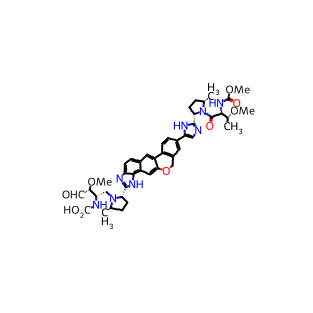 COC(=O)N[C@H](C(=O)N1[C@@H](C)CC[C@H]1c1ncc(-c2ccc3c(c2)COc2cc4c(ccc5nc([C@@H]6CC[C@H](C)N6C[C@H](NC(=O)O)[C@H](C=O)OC)[nH]c54)cc2-3)[nH]1)[C@@H](C)OC